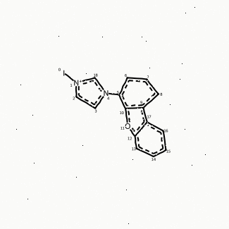 I[n+]1ccn(-c2cccc3c2oc2ccccc23)c1